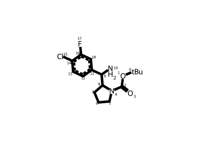 CC(C)(C)OC(=O)N1CCCC1C(N)c1ccc(Cl)c(F)c1